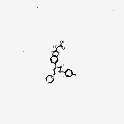 O=C(O)Nc1nc2ccc(N(CCN3CCOCC3)C(=O)Nc3ccc(Cl)cc3)cc2s1